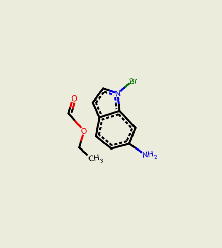 CCOC=O.Nc1ccc2ccn(Br)c2c1